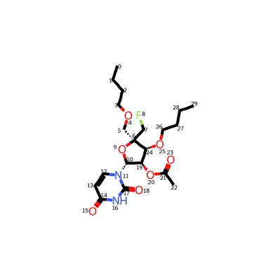 CCCCOC[C@@]1(CF)O[C@@H](n2ccc(=O)[nH]c2=O)[C@H](OC(C)=O)[C@@H]1OCCCC